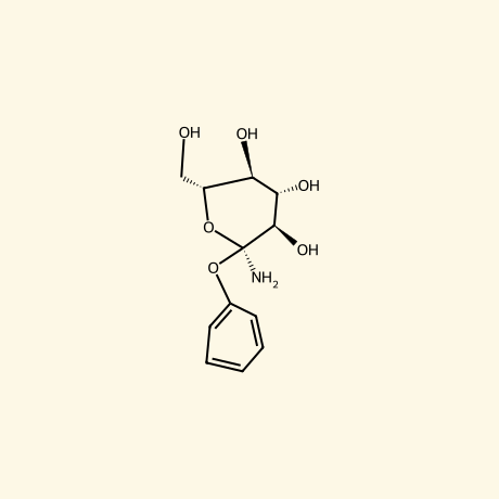 N[C@]1(Oc2ccccc2)O[C@H](CO)[C@@H](O)[C@H](O)[C@H]1O